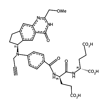 C#CCN(c1ccc(C(=O)N[C@H](CCC(=O)O)C(=O)N[C@H](CCC(=O)O)C(=O)O)cc1)[C@H]1CCc2cc3nc(COC)[nH]c(=O)c3cc21